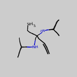 C=CC(C[SiH3])(NC(C)C)NC(C)C